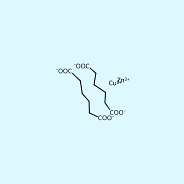 O=C([O-])CCCCC(=O)[O-].O=C([O-])CCCCC(=O)[O-].[Cu+2].[Zn+2]